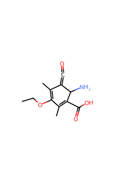 CCOC1=C(C)C(=C=O)C(N)C(C(=O)O)=C1C